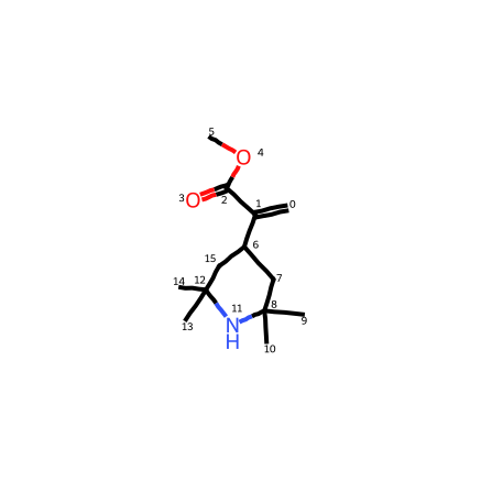 C=C(C(=O)OC)C1CC(C)(C)NC(C)(C)C1